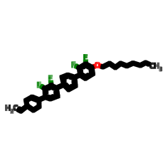 C=CC1CC=C(c2ccc(-c3ccc(-c4ccc(OCCCCCCCCC)c(F)c4F)cc3)c(F)c2F)CC1